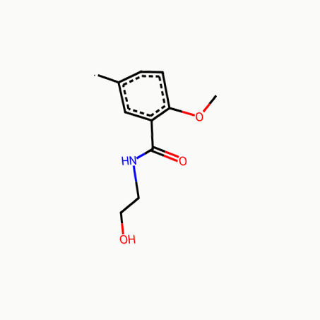 [CH2]c1ccc(OC)c(C(=O)NCCO)c1